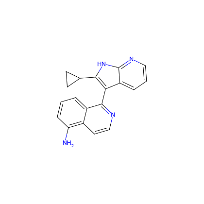 Nc1cccc2c(-c3c(C4CC4)[nH]c4ncccc34)nccc12